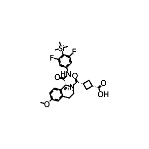 COc1ccc2c(c1)CCN(C(=O)[C@H]1C[C@@H](C(=O)O)C1)[C@H]2C(=O)Nc1cc(F)c([Si](C)(C)C)c(F)c1